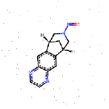 O=NN1C[C@H]2C[C@@H](C1)c1cc3nccnc3cc12